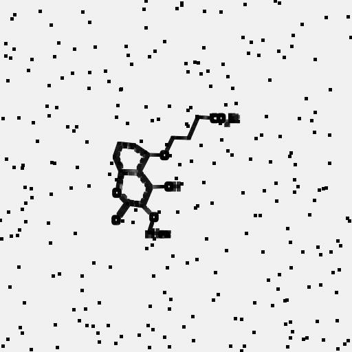 CCCCCCOc1c(O)c2c(OCCCC(=O)OCC)cccc2oc1=O